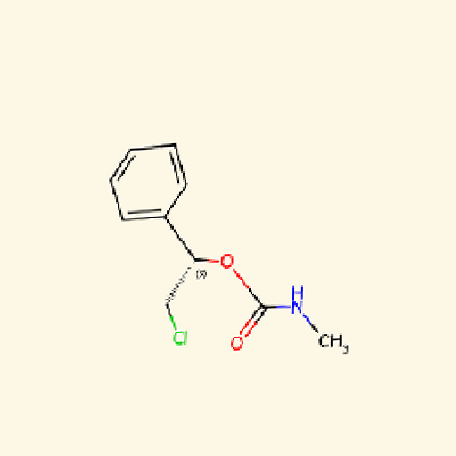 CNC(=O)O[C@H](CCl)c1ccccc1